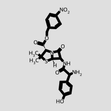 CC1(C)S[C@@H]2C(NC(=O)C(N)c3ccc(O)cc3)C(=O)N2[C@H]1C(=O)OCc1ccc([N+](=O)[O-])cc1